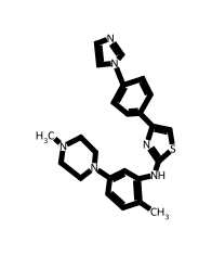 Cc1ccc(N2CCN(C)CC2)cc1Nc1nc(-c2ccc(-n3ccnc3)cc2)cs1